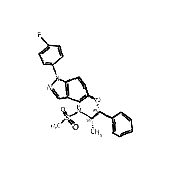 C[C@H](NS(C)(=O)=O)[C@H](Oc1ccc2c(cnn2-c2ccc(F)cc2)c1)c1ccccc1